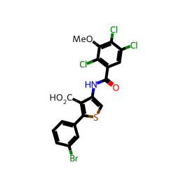 COc1c(Cl)c(Cl)cc(C(=O)Nc2csc(-c3cccc(Br)c3)c2C(=O)O)c1Cl